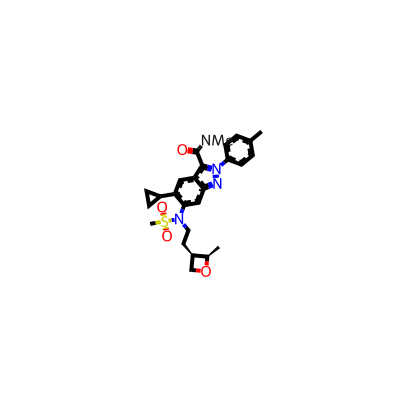 CNC(=O)c1c2cc(C3CC3)c(N(CC[C@@H]3CO[C@@H]3C)S(C)(=O)=O)cc2nn1-c1ccc(C)cc1